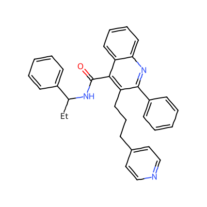 CCC(NC(=O)c1c(CCCc2ccncc2)c(-c2ccccc2)nc2ccccc12)c1ccccc1